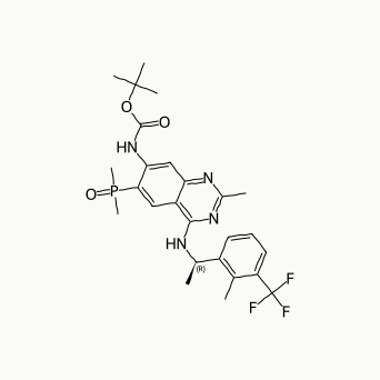 Cc1nc(N[C@H](C)c2cccc(C(F)(F)F)c2C)c2cc(P(C)(C)=O)c(NC(=O)OC(C)(C)C)cc2n1